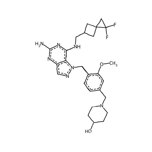 COc1cc(CN2CCC(O)CC2)ccc1Cn1ncc2nc(N)nc(NCC3CC4(C3)CC4(F)F)c21